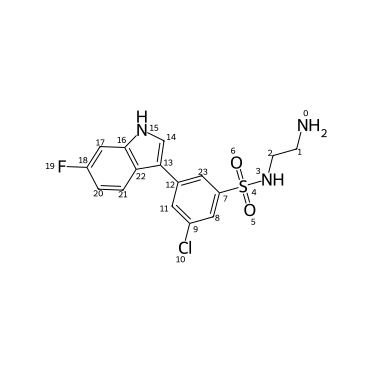 NCCNS(=O)(=O)c1cc(Cl)cc(-c2c[nH]c3cc(F)ccc23)c1